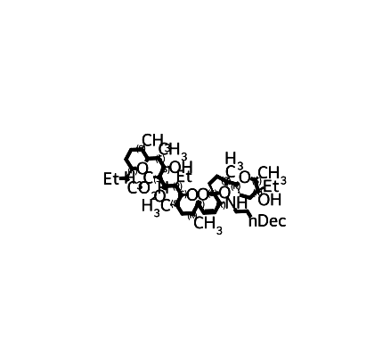 CCCCCCCCCCCCN[C@@H]1C=C[C@]2(O[C@H]([C@@H](CC)C(=O)[C@@H](C)[C@@H](O)[C@H](C)C3O[C@@H](C(CC)C(=O)O)CC[C@@H]3C)[C@@H](C)C[C@H]2C)O[C@@]12CC[C@@](C)([C@H]1CC[C@](O)(CC)[C@H](C)O1)O2